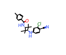 Cc1ccc(C(=O)N[C@H]2C(C)(C)[C@H](Nc3ccc(C#N)c(Cl)c3)C2(C)C)cc1